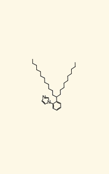 CCCCCCCCCCCCC(CCCCCCCCCC)c1ccccc1-n1ccnc1